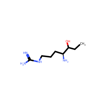 CCC(O)[C@@H](N)CCCNC(=N)N